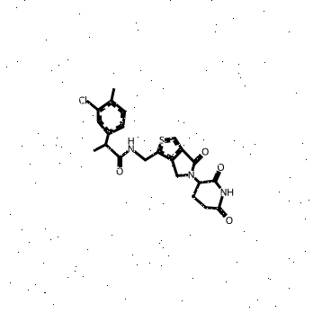 Cc1ccc(C(C)C(=O)NCc2scc3c2CN(C2CCC(=O)NC2=O)C3=O)cc1Cl